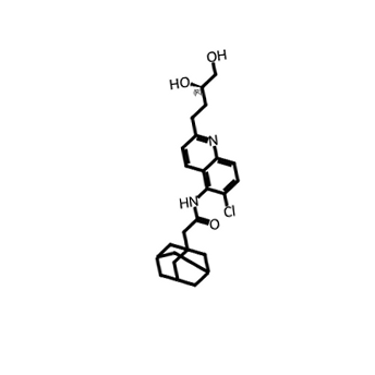 O=C(CC12CC3CC(CC(C3)C1)C2)Nc1c(Cl)ccc2nc(CC[C@@H](O)CO)ccc12